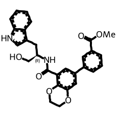 COC(=O)c1cccc(-c2cc3c(c(C(=O)N[C@@H](CO)Cc4c[nH]c5ccccc45)c2)OCCO3)c1